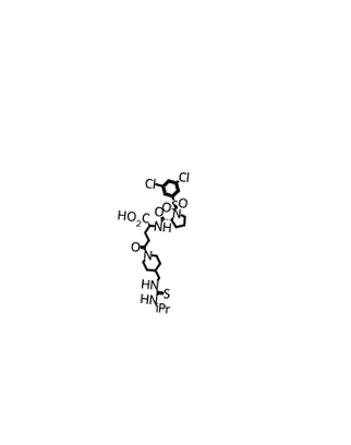 CC(C)NC(=S)NCC1CCN(C(=O)CC[C@H](NC(=O)[C@H]2CCCN2S(=O)(=O)c2cc(Cl)cc(Cl)c2)C(=O)O)CC1